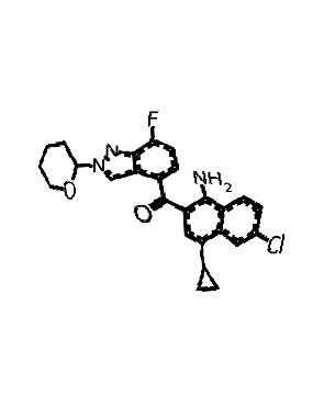 Nc1c(C(=O)c2ccc(F)c3nn(C4CCCCO4)cc23)cc(C2CC2)c2cc(Cl)ccc12